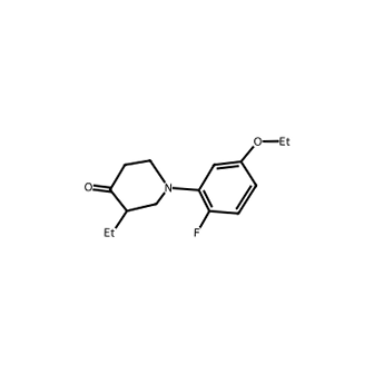 CCOc1ccc(F)c(N2CCC(=O)C(CC)C2)c1